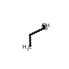 CCCCCCCC/C=C\CCCCCCCCCCCC(=O)OO